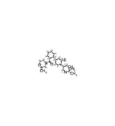 C=C(C)/N=C\C(=C/C)c1ccc(-c2ccccc2C(=O)N2CCO[C@@H](C)C2)cc1F